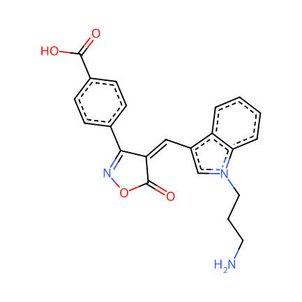 NCCCn1cc(C=C2C(=O)ON=C2c2ccc(C(=O)O)cc2)c2ccccc21